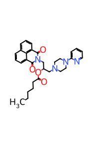 CCCCCC(=O)OC(CN1CCN(c2ccccn2)CC1)CN1C(=O)c2cccc3cccc(c23)C1=O